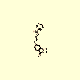 O=c1[nH][nH]c2cc(OCCONc3nccnn3)ccc12